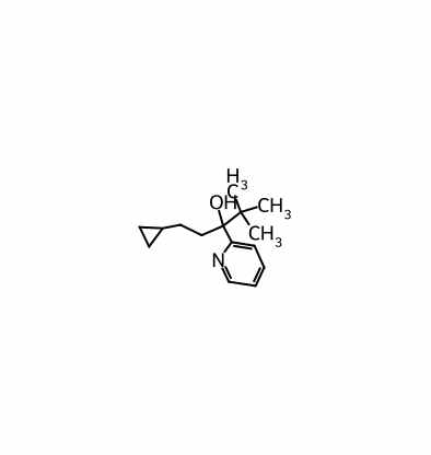 CC(C)(C)C(O)(CCC1CC1)c1ccccn1